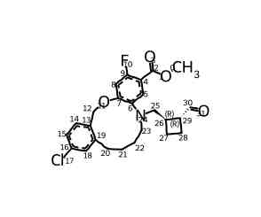 COC(=O)c1cc2c(cc1F)OCc1ccc(Cl)cc1CCCCN2C[C@@H]1CC[C@H]1C=O